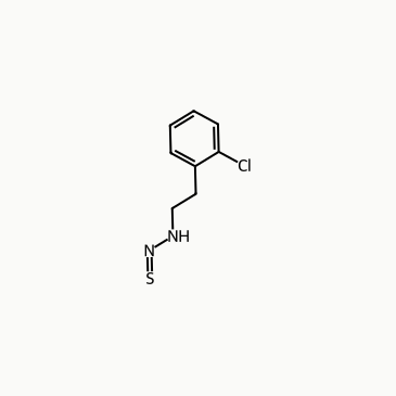 S=NNCCc1ccccc1Cl